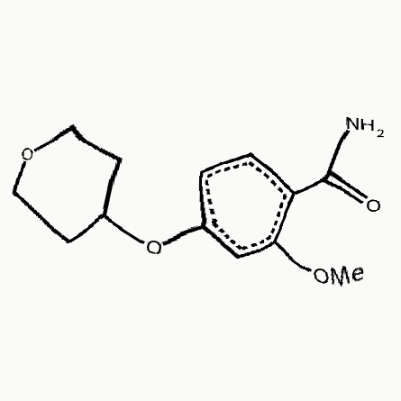 COc1cc(OC2CCOCC2)ccc1C(N)=O